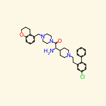 N[C@@H](C(=O)N1CCN(Cc2cccc3c2CCCO3)CC1)C1CCN(CCc2cc(Cl)ccc2-c2ccccc2)CC1